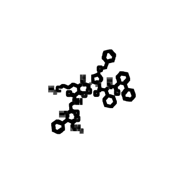 CCCCC(NC(=O)[C@@H]1C[C@@H](OCc2ccccc2)CN1C(=O)C(NC(=O)c1ccccc1-c1ccccc1)C1CCCCC1)C(=O)C(=O)NCC(=O)NC(C(N)=O)c1ccccc1